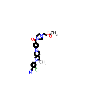 CC(=O)OCCN1CCN(C(=O)c2ccc(N3CCC4(CC3)CC(C)N(c3ccc(C#N)c(Cl)c3)C4)cc2)CC1